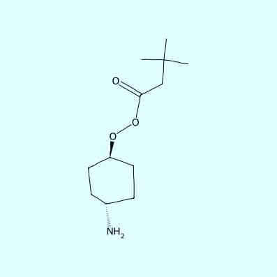 CC(C)(C)CC(=O)OO[C@H]1CC[C@H](N)CC1